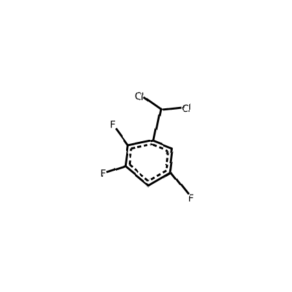 Fc1cc(F)c(F)c(C(Cl)Cl)c1